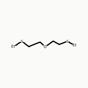 CCSCCOCCSCC